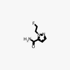 NC(=O)c1ccnn1CCF